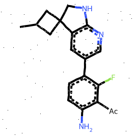 CC(=O)c1c(N)ccc(-c2cnc3c(c2)C2(CN3)CC(C)C2)c1F